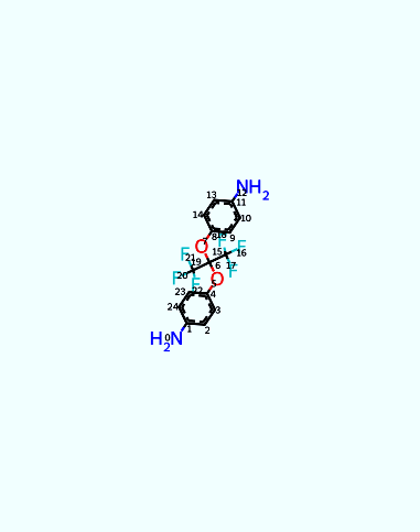 Nc1ccc(OC(Oc2ccc(N)cc2)(C(F)(F)F)C(F)(F)F)cc1